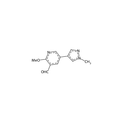 COc1ncc(-c2cnn(C)c2)cc1C=O